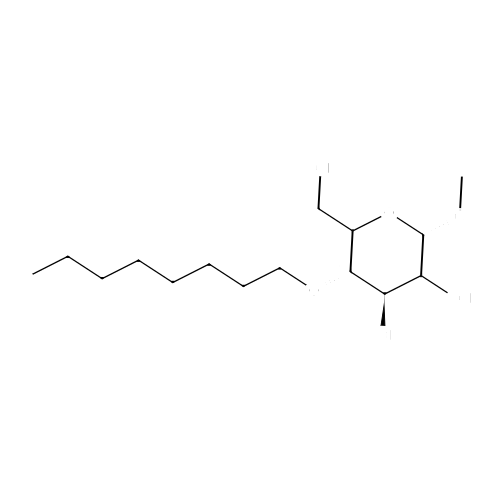 CCCCCCCCO[C@@H]1C(CO)O[C@H](OC)C(O)[C@H]1O